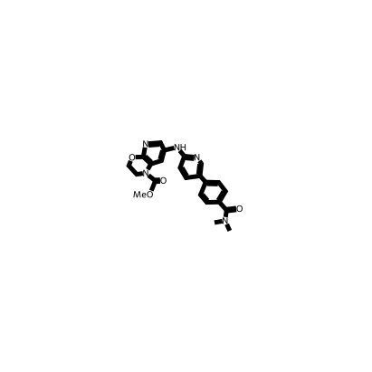 COC(=O)N1CCOc2ncc(Nc3ccc(-c4ccc(C(=O)N(C)C)cc4)cn3)cc21